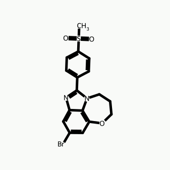 CS(=O)(=O)c1ccc(-c2nc3cc(Br)cc4c3n2CCCO4)cc1